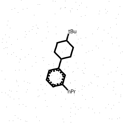 [CH2]CCc1cccc(C2CCC(C(C)(C)C)CC2)c1